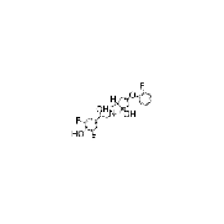 Oc1c(F)cc(C(O)CN2C[C@@H]3C[C@@H](Oc4ccccc4F)C[C@]3(O)C2)cc1F